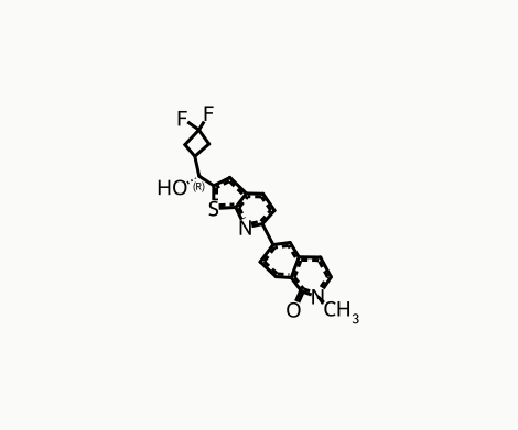 Cn1ccc2cc(-c3ccc4cc([C@H](O)C5CC(F)(F)C5)sc4n3)ccc2c1=O